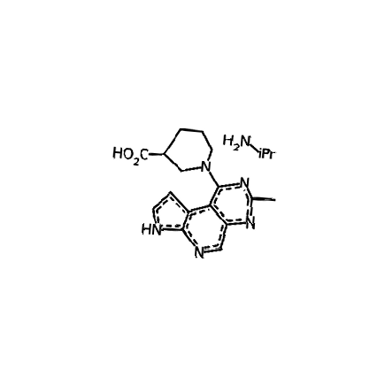 CC(C)N.Cc1nc(N2CCCC(C(=O)O)C2)c2c(cnc3[nH]ccc32)n1